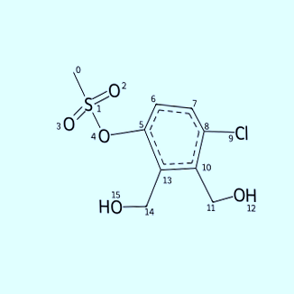 CS(=O)(=O)Oc1ccc(Cl)c(CO)c1CO